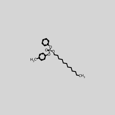 CCCCCCCCCCCCOP(=O)(Oc1ccccc1)Oc1ccc(C)cc1